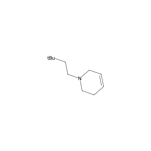 CC(C)(C)CCN1CC=CCC1